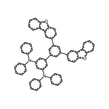 c1ccc(N(c2ccccc2)c2cc(-c3cc(-c4ccc5oc6ccccc6c5c4)cc(-c4ccc5oc6ccccc6c5c4)c3)cc(N(c3ccccc3)c3ccccc3)c2)cc1